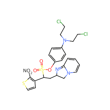 O=[N+]([O-])c1sccc1C(CC1CN2C=CC=CC2=N1)S(=O)(=O)Oc1ccc(N(CCCl)CCCl)cc1